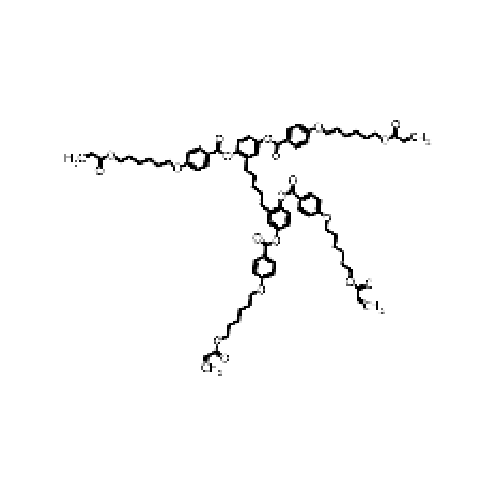 C=CC(=O)OCCCCCCOc1ccc(C(=O)Oc2ccc(OC(=O)c3ccc(OCCCCCCOC(=O)C=C)cc3)c(CCCCCc3cc(OC(=O)c4ccc(OCCCCCCOC(=O)C=C)cc4)ccc3OC(=O)c3ccc(OCCCCCCOC(=O)C=C)cc3)c2)cc1